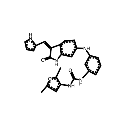 Cc1cc(NC(=O)Nc2cccc(Nc3ccc4c(c3)NC(=O)C4=Cc3ccc[nH]3)c2)c(C)o1